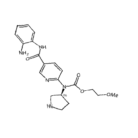 COCCOC(=O)N(c1ccc(C(=O)Nc2ccccc2N)cn1)[C@H]1CCNC1